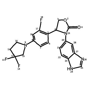 O=C1OCC(c2ccc(N3CCC(F)(F)C3)cc2F)N1c1ccc2[nH]cnc2c1